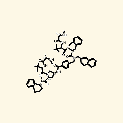 CN[C@@H](C)C(=O)NC(C(=O)N1Cc2ccccc2C[C@H]1C(=O)N(Cc1ccc(C(=O)N[C@H]2C[C@@H](C(=O)N[C@@H]3CCCc4ccccc43)N(C(=O)[C@@H](NC(=O)[C@H](C)NC)C(C)(C)C)C2)cc1)Cc1ccc2ccccc2c1)C(C)(C)C